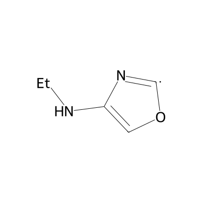 CCNc1co[c]n1